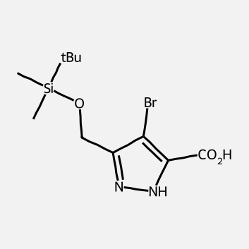 CC(C)(C)[Si](C)(C)OCc1n[nH]c(C(=O)O)c1Br